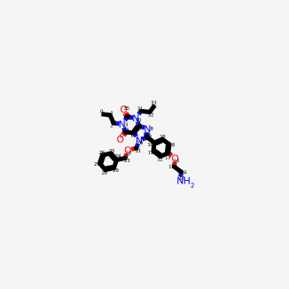 CCCn1c(=O)c2c(nc(-c3ccc(OCCN)cc3)n2COCc2ccccc2)n(CCC)c1=O